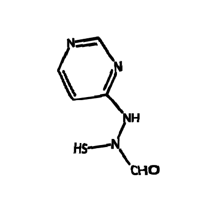 O=CN(S)Nc1ccncn1